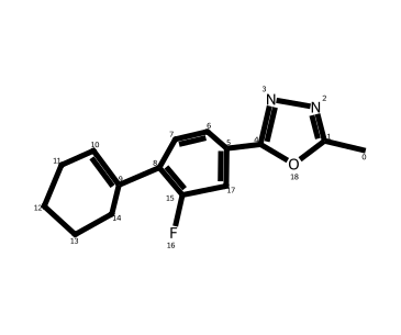 Cc1nnc(-c2ccc(C3=CCCCC3)c(F)c2)o1